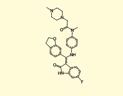 CN1CCN(CC(=O)N(C)c2ccc(NC(=C3C(=O)Nc4cc(F)ccc43)c3ccc4c(c3)OCC4)cc2)CC1